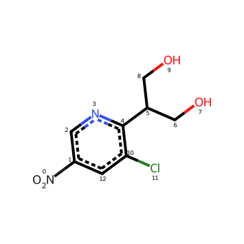 O=[N+]([O-])c1cnc(C(CO)CO)c(Cl)c1